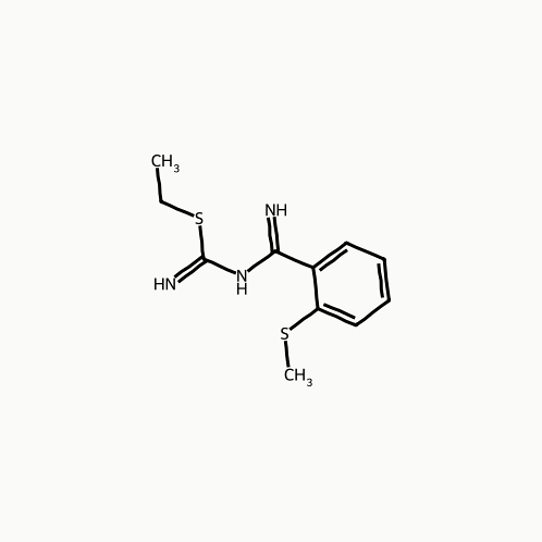 CCSC(=N)NC(=N)c1ccccc1SC